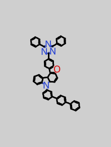 C1=CC2C(c3ccccc3N2c2cccc(-c3ccc(-c4ccccc4)cc3)c2)c2c1oc1cc(-c3nc(-c4ccccc4)nc(-c4ccccc4)n3)ccc21